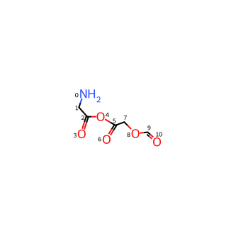 NCC(=O)OC(=O)COC=O